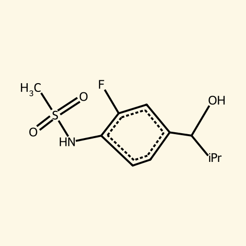 CC(C)C(O)c1ccc(NS(C)(=O)=O)c(F)c1